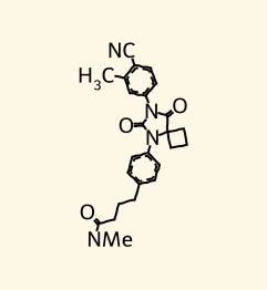 CNC(=O)CCCc1ccc(N2C(=O)N(c3ccc(C#N)c(C)c3)C(=O)C23CCC3)cc1